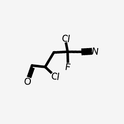 N#CC(F)(Cl)CC(Cl)C=O